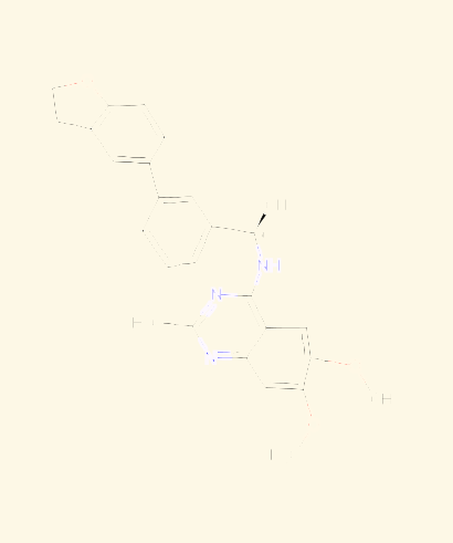 COc1cc2nc(C)nc(N[C@H](C)c3cccc(-c4ccc5c(c4)CCO5)c3)c2cc1OC